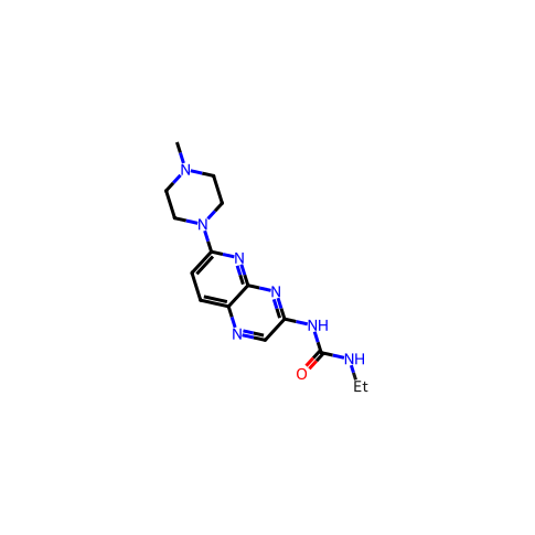 CCNC(=O)Nc1cnc2ccc(N3CCN(C)CC3)nc2n1